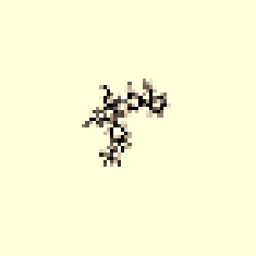 CCCc1c(Cc2ccc(-c3ccccc3C#N)cc2F)c(=O)n(C2CCC(C)(OCC(C)(C)O)CC2)c2nc(C)nn12